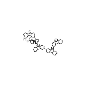 CC1(C)c2cc(-n3c4ccccc4c4cc(-c5ccc6c7ccccc7n(-c7ccc8oc9ccccc9c8c7)c6c5)ccc43)ccc2-c2ccc3sc4ccccc4c3c21